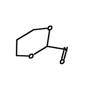 O=NC1OCCCO1